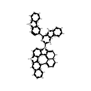 c1c(-c2nc(-n3c4c5c6c7c(ccc63)sc3cc6ccccc6c(c37)C3=CC=CC(CC=4)C=53)nc3c2sc2ccccc23)cc2c(c#1)oc1ccccc12